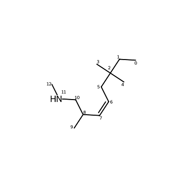 CCC(C)(C)C/C=C\C(C)CNC